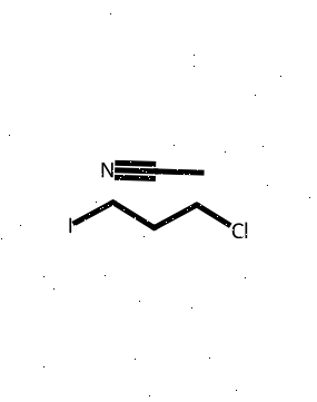 CC#N.ClCCCI